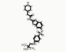 CC(C)(O)CNc1ccc(S(=O)(=O)Oc2ccc3nc(NC(=O)CC4CCNCC4)sc3c2)cc1